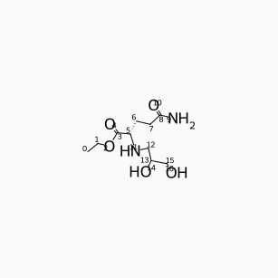 CCOC(=O)[C@H](CCC(N)=O)NCC(O)CO